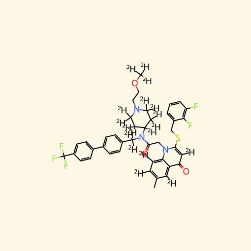 [2H]c1c(C)c([2H])c2c(=O)c([2H])c(SCc3cccc(F)c3F)n(CC(=O)N(C([2H])([2H])c3ccc(-c4ccc(C(F)(F)F)cc4)cc3)C3([2H])C([2H])([2H])C([2H])([2H])N(CCOC([2H])([2H])[2H])C([2H])([2H])C3([2H])[2H])c2c1[2H]